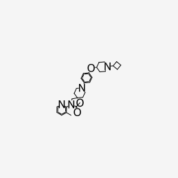 Cc1cccnc1N1CC2(CCN(c3ccc(OC4CCN(C5CCC5)CC4)cc3)CC2)OC1=O